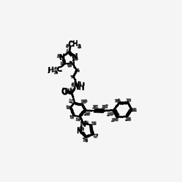 Cc1nc(C)n(CCNC(=O)c2ccc(-n3cccn3)c(C#Cc3ccccc3)c2)n1